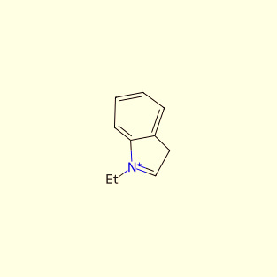 CC[N+]1=CCc2ccccc21